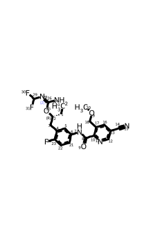 CC[C@H](Cc1cc(NC(=O)c2ncc(C#N)cc2COC)ccc1F)O/C(N)=N\C(F)F